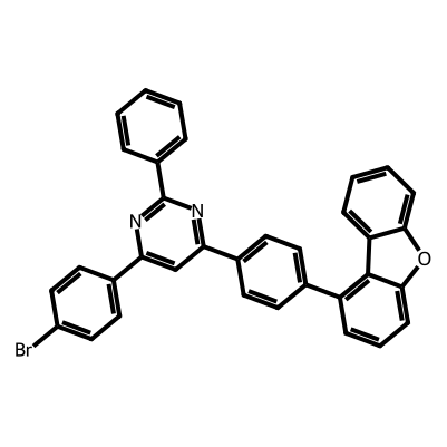 Brc1ccc(-c2cc(-c3ccc(-c4cccc5oc6ccccc6c45)cc3)nc(-c3ccccc3)n2)cc1